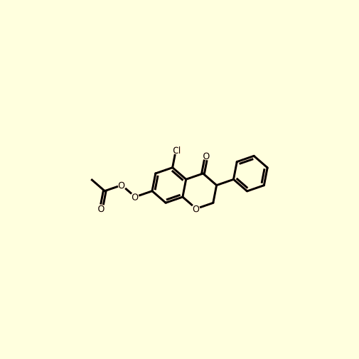 CC(=O)OOc1cc(Cl)c2c(c1)OCC(c1ccccc1)C2=O